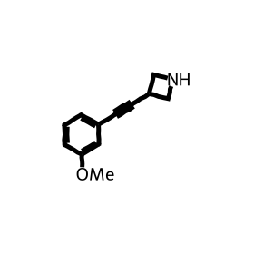 COc1cccc(C#CC2CNC2)c1